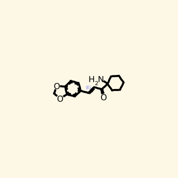 NC1(C(=O)/C=C/c2ccc3c(c2)OCO3)CCCCC1